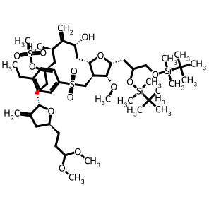 C=C([C@H](C)C[C@@H](CC[C@@H]1O[C@@H](CCC(OC)OC)CC1=C)OS(C)(=O)=O)[C@H](O)C[C@@H]1O[C@H](CC(CO[Si](C)(C)C(C)(C)C)O[Si](C)(C)C(C)(C)C)[C@H](OC)[C@H]1CS(=O)(=O)c1ccc(CC)cc1